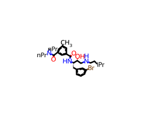 CCCN(CCC)C(=O)c1cc(C)cc(C(=O)N[C@@H](Cc2cccc(Br)c2)[C@H](O)CNCCC(C)C)c1